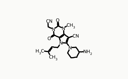 CC(C)=CCn1c(N2CCCC(N)C2)c(C#N)c2c1c(=O)n(CC#N)c(=O)n2C